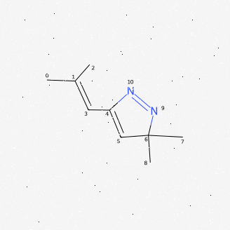 CC(C)=CC1=CC(C)(C)N=N1